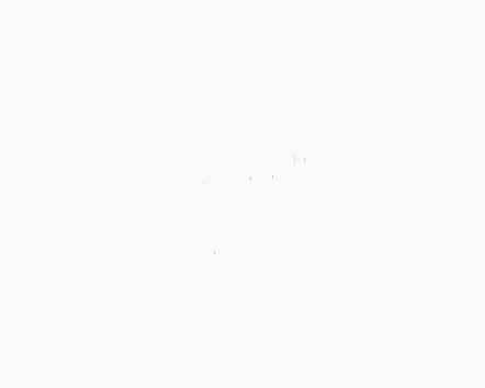 C=C(C)C(=C)C.C=O.C=O.C=O.[Ru]